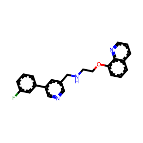 Fc1cccc(-c2cncc(CNCCOc3cccc4cccnc34)c2)c1